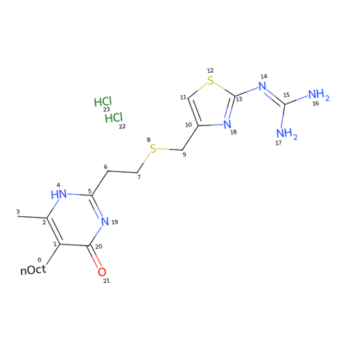 CCCCCCCCc1c(C)[nH]c(CCSCc2csc(N=C(N)N)n2)nc1=O.Cl.Cl